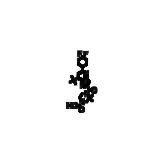 CC(C)(C)c1cc(C2CCC(F)(F)CC2)nn2cc(C(=O)N3CCN(C(=O)O)CC3(C)C)nc12